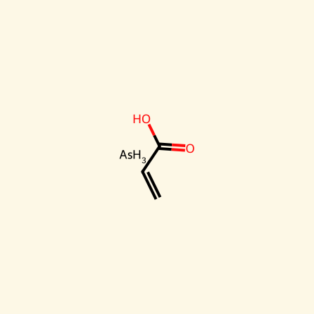 C=CC(=O)O.[AsH3]